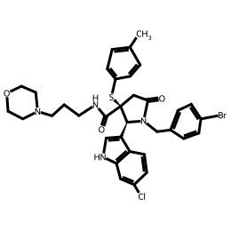 Cc1ccc(S[C@@]2(C(=O)NCCCN3CCOCC3)CC(=O)N(Cc3ccc(Br)cc3)[C@H]2c2c[nH]c3cc(Cl)ccc23)cc1